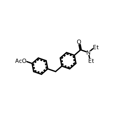 CCN(CC)C(=O)c1ccc(Cc2ccc(OC(C)=O)cc2)cc1